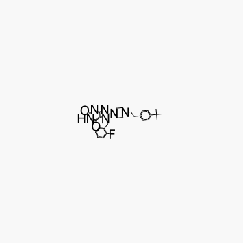 Cn1c(=O)[nH]c(=O)c2c1nc(N1CCN(CCc3ccc(C(C)(C)C)cc3)CC1)n2Cc1ccccc1F